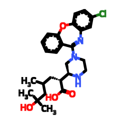 CC(C[C@@H](C(=O)O)[C@H]1CN(C2=Nc3cc(Cl)ccc3Oc3ccccc32)CCN1)CC(C)(C)O